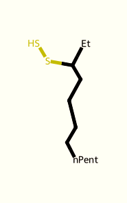 CCCCCCCCCC(CC)SS